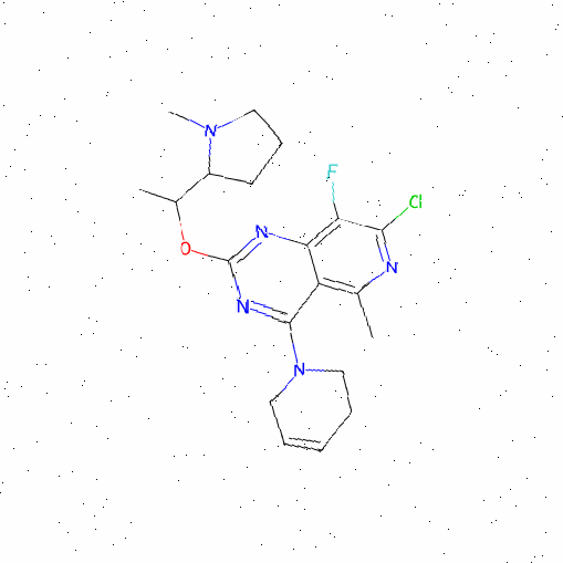 Cc1nc(Cl)c(F)c2nc(OC(C)C3CCCN3C)nc(N3CC=CCC3)c12